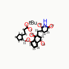 CC(C)(C)OC(=O)CCC1CCC[C@H]1COc1cccc2c1C(=O)C(CC1CCC(=O)NC1=O)=CC2=O